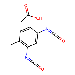 CC(=O)O.Cc1ccc(N=C=O)cc1N=C=O